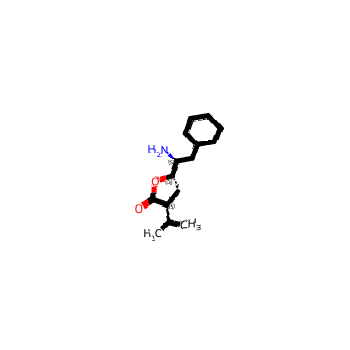 CC(C)[C@@H]1C[C@@H]([C@@H](N)CC2CCCCC2)OC1=O